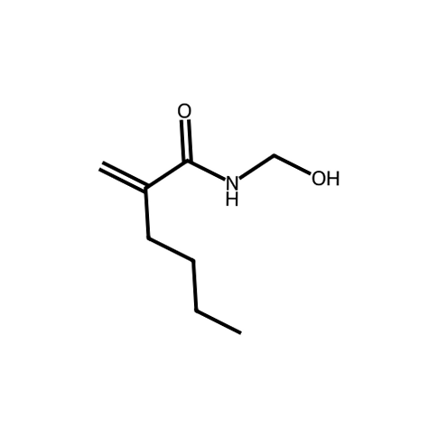 C=C(CCCC)C(=O)NCO